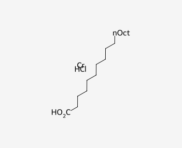 CCCCCCCCCCCCCCCCCC(=O)O.Cl.[Cr]